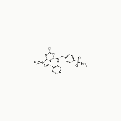 Cn1nc(-c2ccncc2)c2c(NCc3ccc(S(N)(=O)=O)cc3)nc(Cl)nc21